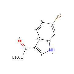 CCOC(=O)C(=O)c1c[nH]c2cc(Br)ccc12